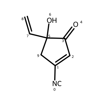 [C-]#[N+]C1=CC(=O)C(O)(C=C)C1